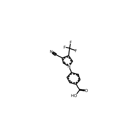 N#Cc1cn(-c2ccc(C(=O)O)cc2)cc1C(F)(F)F